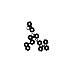 c1ccc([Si](c2ccccc2)(c2ccccc2)c2ccc(N(c3ccc(-c4cccc5ccccc45)cc3)c3cccc4c3c3ccccc3n4-c3ccc4c(c3)oc3ccccc34)cc2)cc1